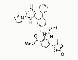 CCOc1nc2c(-c3oc(=O)oc3C)ccc(C(=O)OC)c2n1Cc1ccc(-c2ccccc2)c(C(=NO)NC(=O)n2ccnc2)c1